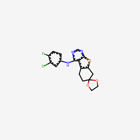 Fc1ccc(Nc2ncnc3sc4c(c23)CCC2(C4)OCCO2)cc1Cl